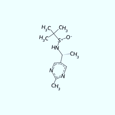 Cc1ncc([C@@H](C)N[S+]([O-])C(C)(C)C)cn1